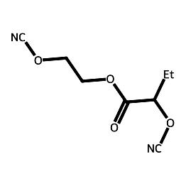 CCC(OC#N)C(=O)OCCOC#N